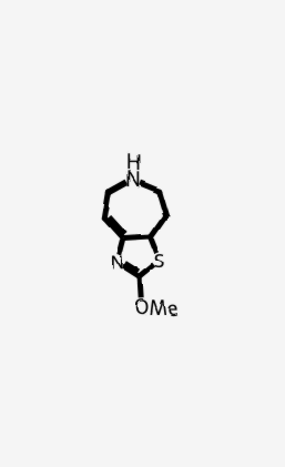 COC1=NC2=CCNCCC2S1